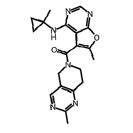 Cc1ncc2c(n1)CCN(C(=O)c1c(C)oc3ncnc(NC4(C)CC4)c13)C2